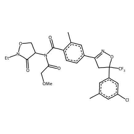 CCN1OCC(N(C(=O)COC)C(=O)c2ccc(C3=NOC(c4cc(C)cc(Cl)c4)(C(F)(F)F)C3)cc2C)C1=O